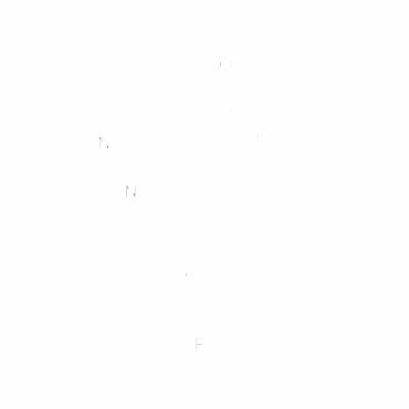 CCOC(=O)c1c(C)nn(-c2ccccc2OC(F)F)c1CC